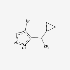 FC(F)(F)C(c1[nH]n[c]c1Br)C1CC1